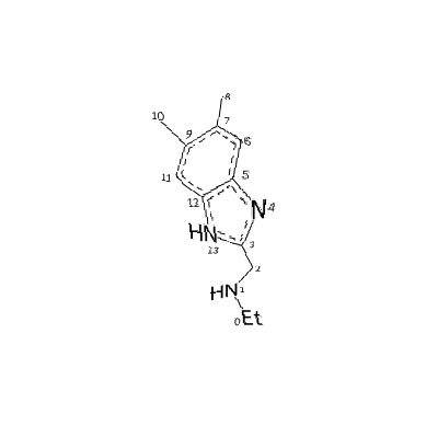 CCNCc1nc2cc(C)c(C)cc2[nH]1